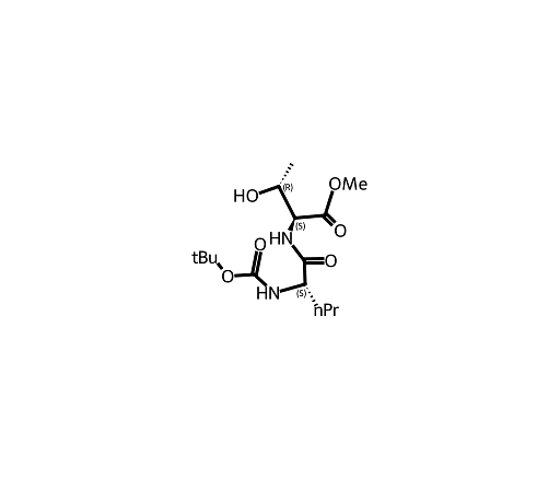 CCC[C@H](NC(=O)OC(C)(C)C)C(=O)N[C@H](C(=O)OC)[C@@H](C)O